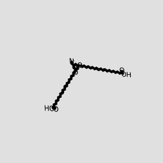 CN(C)Cc1cc(OCCCCCCCC=CCC=CCCCCCCCC(=O)O)cc(OCCCCCCCC=CCC=CCCCCCCCC(=O)O)c1